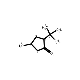 CC1CC(=O)C(C(C)(C)C)C1